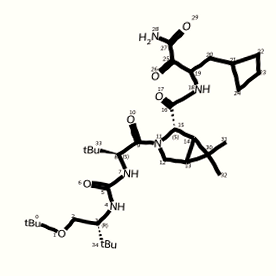 CC(C)(C)OC[C@H](NC(=O)N[C@H](C(=O)N1CC2C([C@H]1C(=O)NC(CC1CCC1)C(=O)C(N)=O)C2(C)C)C(C)(C)C)C(C)(C)C